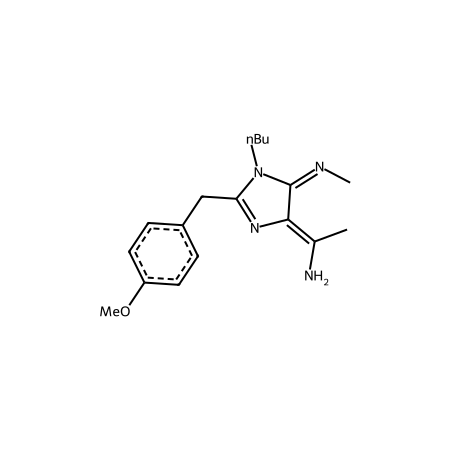 CCCCN1C(Cc2ccc(OC)cc2)=NC(=C(/C)N)/C1=N\C